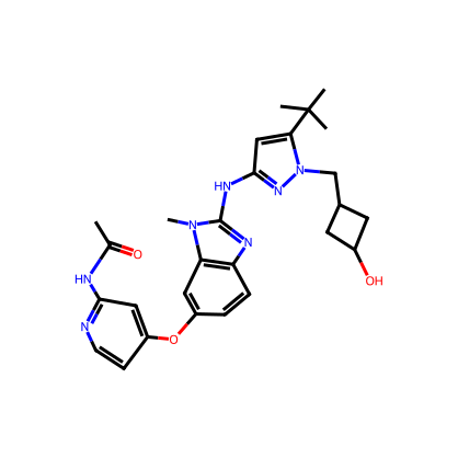 CC(=O)Nc1cc(Oc2ccc3nc(Nc4cc(C(C)(C)C)n(CC5CC(O)C5)n4)n(C)c3c2)ccn1